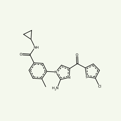 Cc1ccc(C(=O)NC2CC2)cc1-n1cc(C(=O)c2ccc(Cl)s2)nc1N